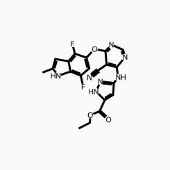 CCOC(=O)c1cc(Nc2ncnc(Oc3cc(F)c4[nH]c(C)cc4c3F)c2C#N)n[nH]1